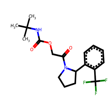 CC(C)(C)NC(=O)OCC(=O)N1CCCC1c1ccccc1C(F)(F)F